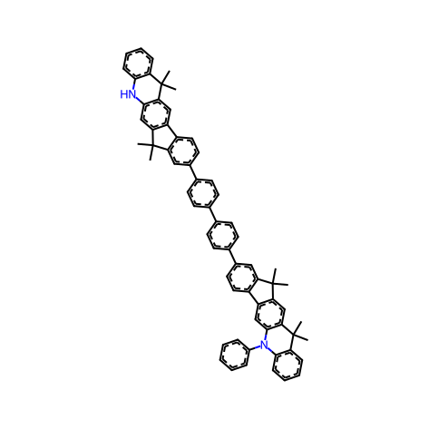 CC1(C)c2ccccc2Nc2cc3c(cc21)-c1ccc(-c2ccc(-c4ccc(-c5ccc6c(c5)C(C)(C)c5cc7c(cc5-6)N(c5ccccc5)c5ccccc5C7(C)C)cc4)cc2)cc1C3(C)C